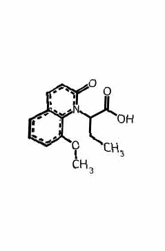 CCC(C(=O)O)n1c(=O)ccc2cccc(OC)c21